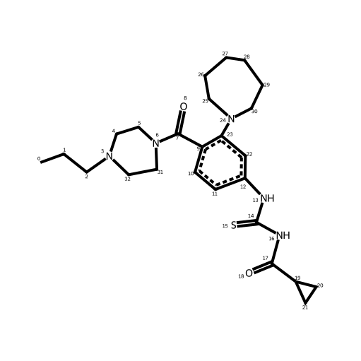 CCCN1CCN(C(=O)c2ccc(NC(=S)NC(=O)C3CC3)cc2N2CCCCCC2)CC1